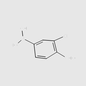 O=Cc1ccc(B(O)O)cc1Cl